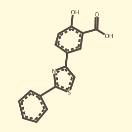 O=C(O)c1cc(-c2csc(-c3ccccc3)n2)ccc1O